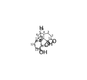 O=C1CCC2[C@@H]3CCC[C@@]24c2c(ccc(O)c2O[C@@H]14)C3